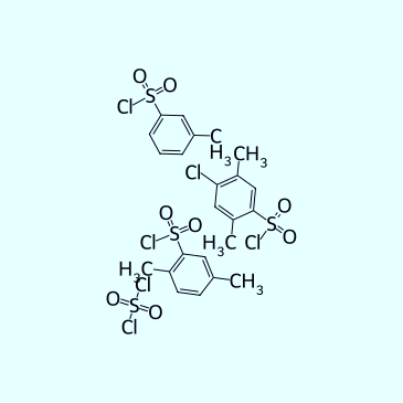 Cc1cc(S(=O)(=O)Cl)c(C)cc1Cl.Cc1ccc(C)c(S(=O)(=O)Cl)c1.Cc1cccc(S(=O)(=O)Cl)c1.O=S(=O)(Cl)Cl